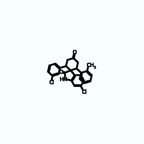 Cc1ccccc1C1CC(=O)CC(c2cccc(Cl)c2)C12C(=O)Nc1cc(Cl)ccc12